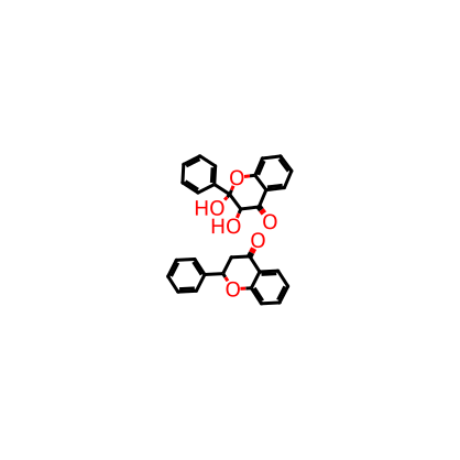 O=C1CC(c2ccccc2)Oc2ccccc21.O=C1c2ccccc2OC(O)(c2ccccc2)C1O